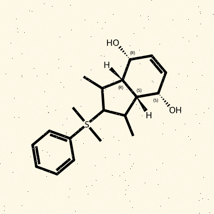 CC1C(S(C)(C)c2ccccc2)C(C)[C@H]2[C@@H]1[C@@H](O)C=C[C@H]2O